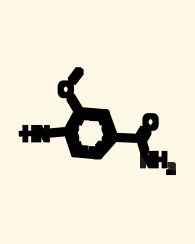 COc1cc(C(N)=O)ccc1[NH]